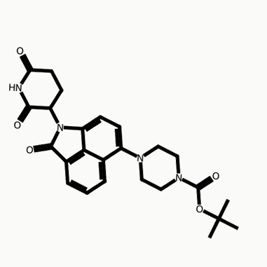 CC(C)(C)OC(=O)N1CCN(c2ccc3c4c(cccc24)C(=O)N3C2CCC(=O)NC2=O)CC1